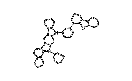 c1ccc(-n2c3cc4c(cc3c3ccc5ccccc5c32)c2ccccc2n4-c2cccc(-c3cccc4c3oc3ccccc34)c2)cc1